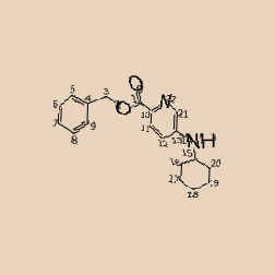 O=C(OCc1ccccc1)c1ccc(NC2CCCCC2)cn1